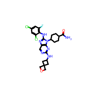 NC(=O)C1CCC(n2c(Nc3c(F)cc(Cl)cc3Cl)nc3cnc(NC4CC5(COC5)C4)nc32)CC1